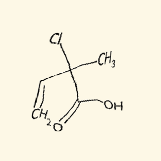 C=CC(C)(Cl)C(=O)O